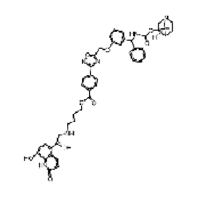 O=C(NC(c1ccccc1)c1cccc(OCc2nc(-c3ccc(C(=O)OCCCCNC[C@@H](O)c4ccc(O)c5[nH]c(=O)ccc45)cc3)no2)c1)O[C@H]1CN2CCC1CC2